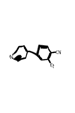 CCc1cc(C2=CCN=CC2)ccc1C#N